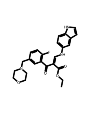 CCOC(=O)C(=CNc1ccc2[nH]ccc2c1)C(=O)c1cc(CN2CCOCC2)ccc1F